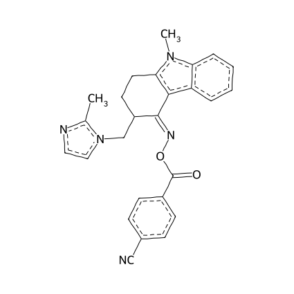 Cc1nccn1CC1CCc2c(c3ccccc3n2C)C1=NOC(=O)c1ccc(C#N)cc1